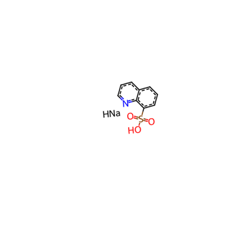 O=S(=O)(O)c1cccc2cccnc12.[NaH]